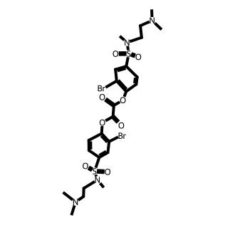 CN(C)CCN(C)S(=O)(=O)c1ccc(OC(=O)C(=O)Oc2ccc(S(=O)(=O)N(C)CCN(C)C)cc2Br)c(Br)c1